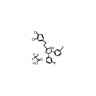 Fc1cccc([C@H]2N=C(CCc3ccc(Cl)c(Cl)c3)N[C@H]2c2cccc(F)c2)c1.O=C(O)C(F)(F)F